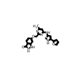 Cc1cc(Nc2cc(-c3ccco3)[nH]n2)nc(COc2ccc3c(=O)[nH][nH]c3c2)n1